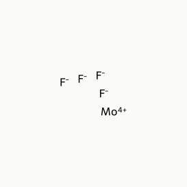 [F-].[F-].[F-].[F-].[Mo+4]